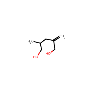 C=C(CO)CC(C)CO